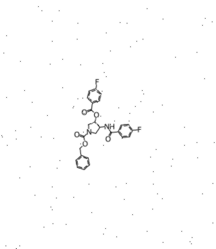 O=C(NC1CN(C(=O)OCc2ccccc2)CC1OC(=O)c1ccc(F)cc1)c1ccc(F)cc1